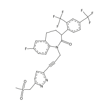 CS(=O)(=O)Cc1ccc(C#CCN2C(=O)C(c3ccc(C(F)(F)F)cc3C(F)(F)F)CCc3cc(F)ccc32)nn1